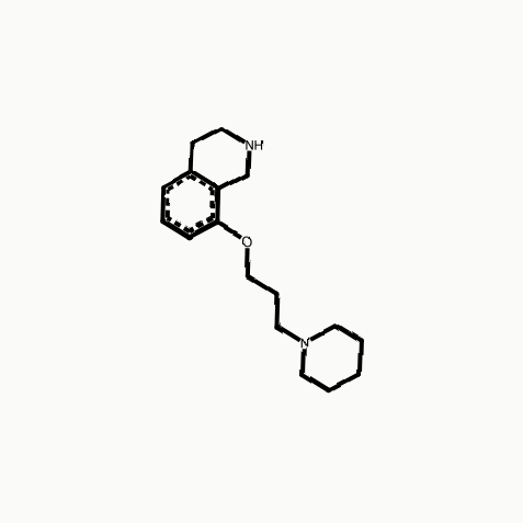 c1cc2c(c(OCCCN3CCCCC3)c1)CNCC2